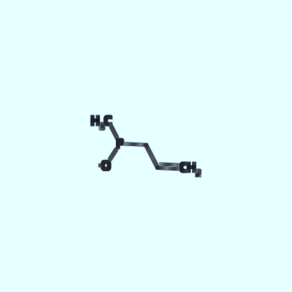 C=CCP(C)[O]